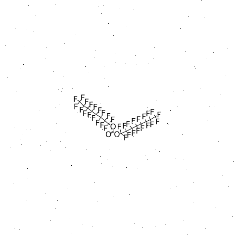 O=C(OC(F)(F)C(F)(F)C(F)(F)C(F)(F)C(F)(F)C(F)(F)C(F)(F)C(F)(F)F)OC(F)(F)C(F)(F)C(F)(F)C(F)(F)C(F)(F)C(F)(F)C(F)(F)C(F)(F)F